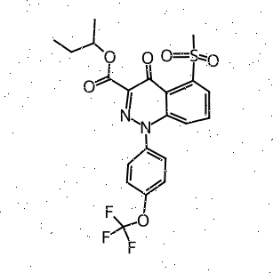 CCC(C)OC(=O)c1nn(-c2ccc(OC(F)(F)F)cc2)c2cccc(S(C)(=O)=O)c2c1=O